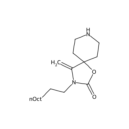 C=C1N(CCCCCCCCCC)C(=O)OC12CCNCC2